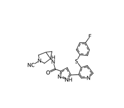 N#CN1CC2C[C@]2(NC(=O)c2cc(-c3cnccc3Sc3ccc(F)cc3)[nH]n2)C1